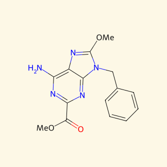 COC(=O)c1nc(N)c2nc(OC)n(Cc3ccccc3)c2n1